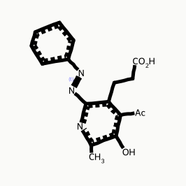 CC(=O)c1c(O)c(C)nc(/N=N/c2ccccc2)c1CCC(=O)O